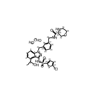 CC(O)c1cccc2c1c(NS(=O)(=O)c1ccc(Cl)s1)nn2Cc1cccc(CNC(=O)[C@H]2COCCN2)c1.O=CO